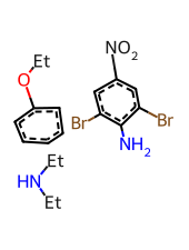 CCNCC.CCOc1ccccc1.Nc1c(Br)cc([N+](=O)[O-])cc1Br